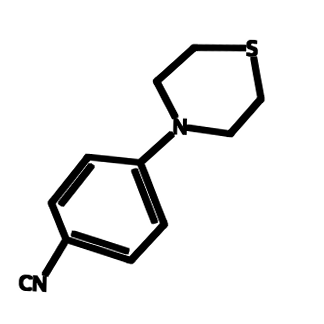 [C-]#[N+]c1ccc(N2CCSCC2)cc1